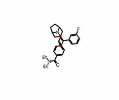 C=CCN1C2CCC1CC(=C(c1ccc(C(=O)N(CC)CC)cc1)c1cccc(F)c1)C2